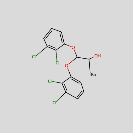 CC(C)(C)C(O)C(Oc1cccc(Cl)c1Cl)Oc1cccc(Cl)c1Cl